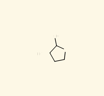 CC1CCCS1.Cl